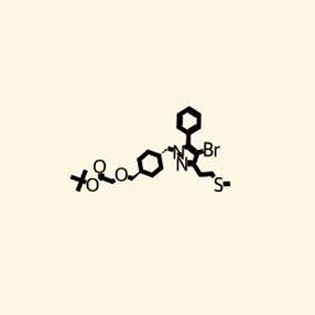 CSCCc1nn(C[C@H]2CC[C@H](COCC(=O)OC(C)(C)C)CC2)c(-c2ccccc2)c1Br